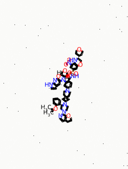 CC(C)Oc1ccccc1[C@@H]1CN(c2nccc3c2OCCC3)CCN1C1CC2(CCN(c3ccc(C(=O)NS(=O)(=O)c4cc5c(c([N+](=O)[O-])c4)N[C@H](C4CCOCC4)CO5)c(N4c5cc6cc[nH]c6nc5O[C@H]5COCC[C@@H]54)c3)CC2)C1